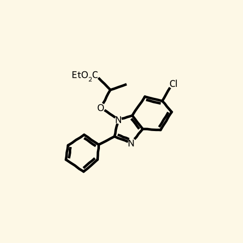 CCOC(=O)C(C)On1c(-c2ccccc2)nc2ccc(Cl)cc21